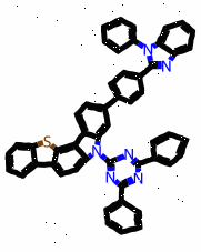 c1ccc(-c2nc(-c3ccccc3)nc(-n3c4cc(-c5ccc(-c6nc7ccccc7n6-c6ccccc6)cc5)ccc4c4c5sc6ccccc6c5ccc43)n2)cc1